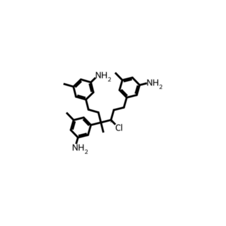 Cc1cc(N)cc(CC[C](Cl)C(C)(CCc2cc(C)cc(N)c2)c2cc(C)cc(N)c2)c1